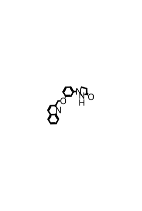 O=C1CCN(c2cccc(OCc3ccc4ccccc4n3)c2)N1